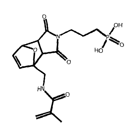 C=C(C)C(=O)NCC12C=CC(O1)C1C(=O)N(CCCP(=O)(O)O)C(=O)C12